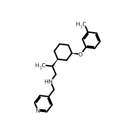 Cc1cccc(O[C@@H]2CCC[C@H](C(C)CNCc3ccncc3)C2)c1